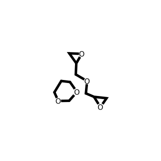 C(OCC1CO1)C1CO1.C1COCOC1